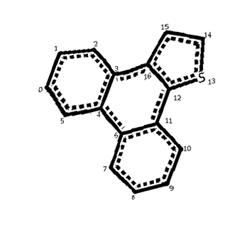 c1ccc2c(c1)c1ccccc1c1sccc21